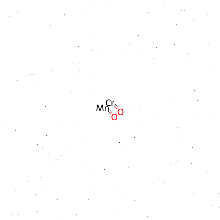 [O]=[Cr].[O]=[Mn]